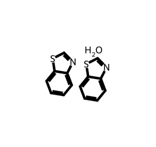 O.c1ccc2scnc2c1.c1ccc2scnc2c1